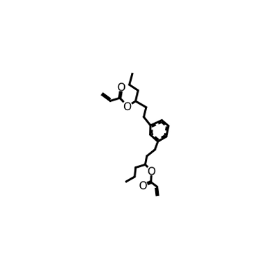 C=CC(=O)OC(CCC)CCc1cccc(CCC(CCC)OC(=O)C=C)c1